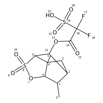 CC1C2CC3(C)C1OS(=O)(=O)C3C2OC(=O)C(F)(F)S(=O)(=O)O